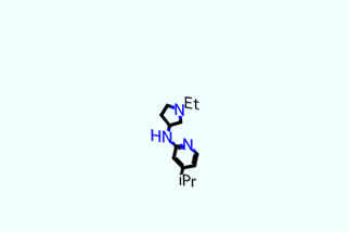 CCN1CCC(Nc2cc(C(C)C)ccn2)C1